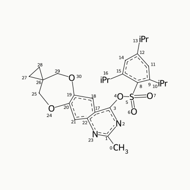 Cc1nc(OS(=O)(=O)c2c(C(C)C)cc(C(C)C)cc2C(C)C)c2cc3c(cc2n1)OCC1(CC1)CO3